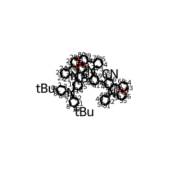 CC(C)(C)c1ccc(N(c2ccc(C(C)(C)C)cc2)c2ccc3c(c2)N(c2ccccc2-c2ccccc2)c2cccc4c2B3c2ccc(-c3cc(N(c5ccccc5)c5ccccc5)c(-c5ccccc5)cc3C#N)cc2N4c2ccccc2-c2ccccc2)cc1